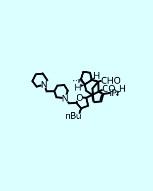 CCCCC1CC(C23C[C@@H]4[C@H](C)CC[C@H]4C4(C=O)CC2C=C(C(C)C)C34C(=O)O)OC1CN1CCCC(CN2CCCCC2)C1